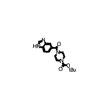 CC(C)(C)OC(=O)N1CCN(C(=O)c2ccc3[nH]cnc3c2)CC1